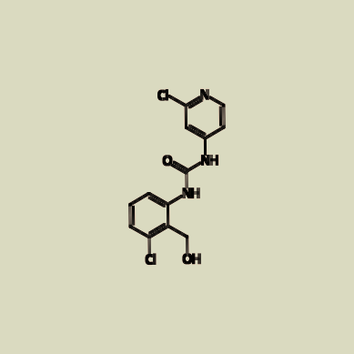 O=C(Nc1ccnc(Cl)c1)Nc1cccc(Cl)c1CO